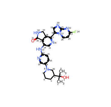 CC(C)(O)C1CCCN(c2ccc(Nc3cnc(-c4cnc5nc(F)ccn45)c4c3C(=O)NC4)nc2)C1